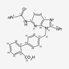 CCCC(=O)Nc1ccc2nc(CCC)n(Cc3ccc(-c4ccccc4C(=O)O)cc3)c2n1